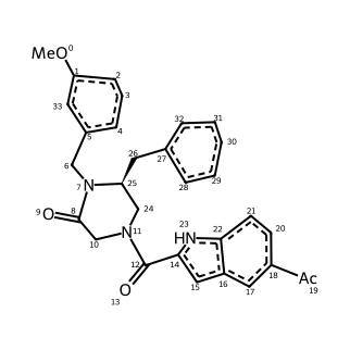 COc1cccc(CN2C(=O)CN(C(=O)c3cc4cc(C(C)=O)ccc4[nH]3)C[C@@H]2Cc2ccccc2)c1